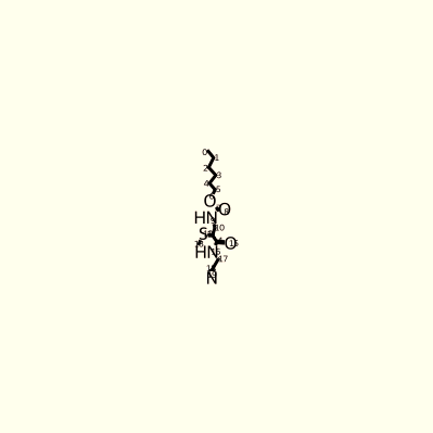 CCCCCCOC(=O)NCC(SC)C(=O)NCC#N